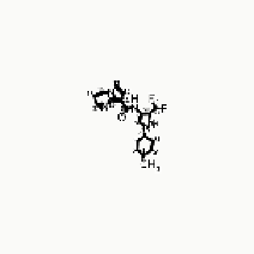 CC1CCC(n2cc(NC(=O)c3ccn4cccnc34)c(C(F)F)n2)CC1